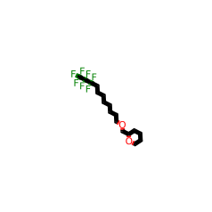 FC(F)(F)C(F)(F)C(F)(F)CCCCCCCCOCC1CCCCO1